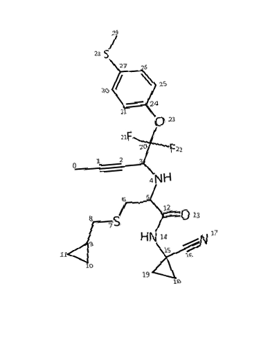 CC#CC(NC(CSCC1CC1)C(=O)NC1(C#N)CC1)C(F)(F)Oc1ccc(SC)cc1